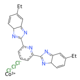 CCC1=CC2=NC(c3cccc(C4=NC5C=CC(CC)=CC5=N4)n3)=NC2C=C1.[Cl-].[Cl-].[Cl-].[Co+3]